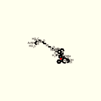 CC[C@]1(O)C[C@H]2CN(CCc3c([nH]c4ccccc34)[C@@](C(=O)OC)(c3cc4c(cc3OC)N(C)C3[C@@H](C(=O)NNC(=O)OCCSSCCC(=O)NS[C@H](NC(=O)C(CC(=O)O)NC(C)=O)C(=O)O)[C@H](O)[C@]5(CC)C=CCN6CCC43[C@@H]65)C2)C1